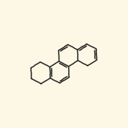 C1=CCC2C(=C1)C=Cc1c2ccc2c1CCCC2